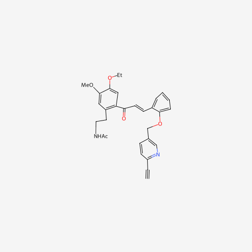 C#Cc1ccc(COc2ccccc2/C=C/C(=O)c2cc(OCC)c(OC)cc2CCNC(C)=O)cn1